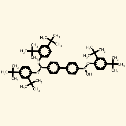 CC(C)(C)c1ccc(OP(O)c2ccc(-c3ccc(P(Oc4ccc(C(C)(C)C)cc4C(C)(C)C)Oc4ccc(C(C)(C)C)cc4C(C)(C)C)cc3)cc2)c(C(C)(C)C)c1